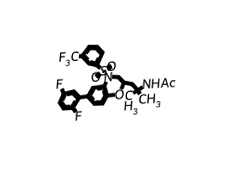 CC(=O)NC(C)(C)CC1CN(S(=O)(=O)c2cccc(C(F)(F)F)c2)c2cc(-c3cc(F)ccc3F)ccc2O1